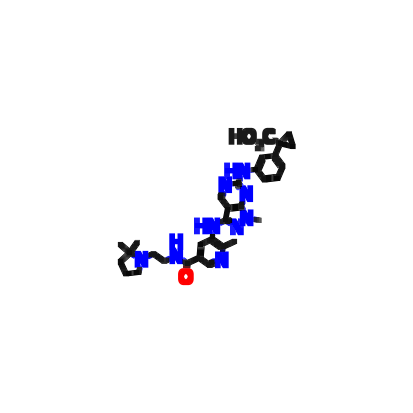 Cc1ncc(C(=O)NCCN2CCCC2(C)C)cc1Nc1nn(C)c2nc(Nc3cccc(C4(C(=O)O)CC4)c3)ncc12